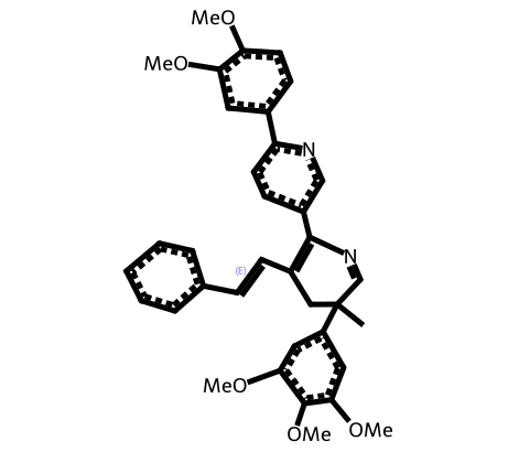 COc1ccc(-c2ccc(C3=C(/C=C/c4ccccc4)CC(C)(c4cc(OC)c(OC)c(OC)c4)C=N3)cn2)cc1OC